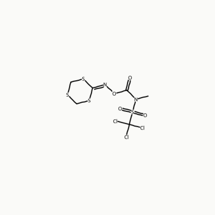 CN(C(=O)ON=C1SCSCS1)S(=O)(=O)C(Cl)(Cl)Cl